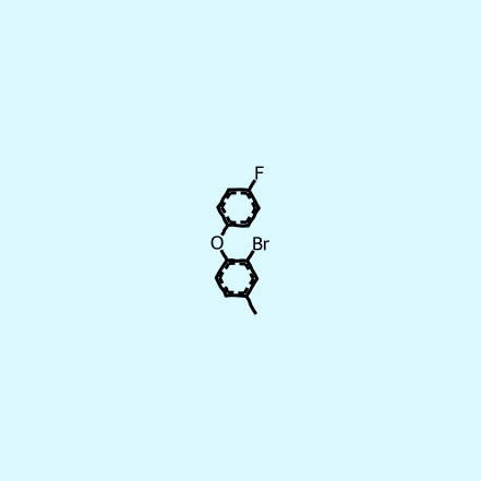 Cc1ccc(Oc2ccc(F)cc2)c(Br)c1